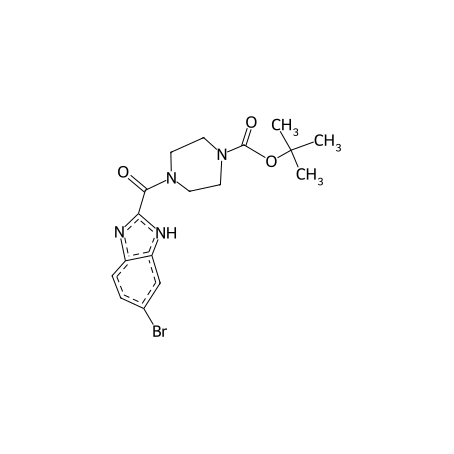 CC(C)(C)OC(=O)N1CCN(C(=O)c2nc3ccc(Br)cc3[nH]2)CC1